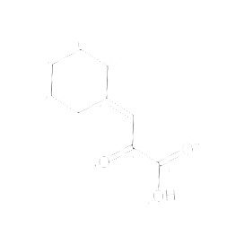 O=C(O)C(=O)C=C1CCCCC1